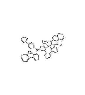 c1ccc(-c2ccc(N(c3ccc4c(c3)-c3ccccc3-c3ccccc3C43c4ccccc4-c4c3cc3ccc5cccc6ccc4c3c56)c3cccc4c3oc3ccccc34)cc2)cc1